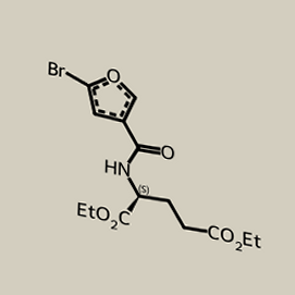 CCOC(=O)CC[C@H](NC(=O)c1coc(Br)c1)C(=O)OCC